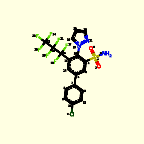 NS(=O)(=O)c1cc(-c2ccc(Cl)cc2)cc(C(F)(F)C(F)(F)C(F)(F)F)c1-n1cccn1